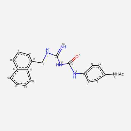 CC(=O)Nc1ccc(NC(=O)NC(=N)NCc2cccc3ccccc23)cc1